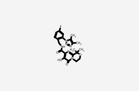 Cc1nnn(-c2cc(F)ccc2CNC(=O)c2nc3n(c(=O)c2O)CCOC3(C)C)c1C